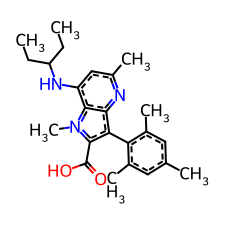 CCC(CC)Nc1cc(C)nc2c(-c3c(C)cc(C)cc3C)c(C(=O)O)n(C)c12